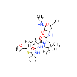 C#CCCC(NC(=O)[C@@H]1CC(C)(C)C(C)CN1C(=O)[C@@H](NC(=O)NC1(CSCc2ccco2)CCCCC1)C(C)(C)C)C(=O)C(=O)NCC=C